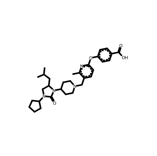 Cc1nc(Oc2ccc(C(=O)O)cc2)ccc1CN1CCC(N2C(=O)N(C3CCCC3)CC2CC(C)C)CC1